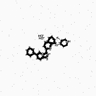 Cl.Cl.F[C@@H]1CNCC[C@@H]1Oc1cccc2ccc(-c3nnc4ccc(-c5ccccc5)cn34)nc12